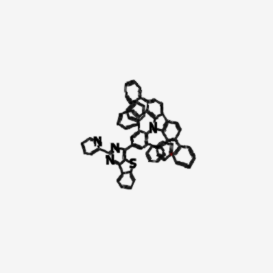 c1ccc(-c2cc(-c3nc(-c4ccccn4)nc4c3sc3ccccc34)cc(-c3ccccc3)c2-n2c3c(-c4ccccc4)c(-c4ccccc4)ccc3c3ccc(-c4ccccc4)c(-c4ccccc4)c32)cc1